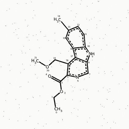 CCOC(=O)c1ncc2[nH]c3ccc(C)cc3c2c1COC